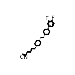 N#C/C=C/C=C/CC[C@H]1CC[C@H](CC[C@H]2CC[C@H](c3ccc(F)c(F)c3)CC2)CC1